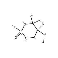 CC[C@@]1(C)COP(=O)(F)OC1(C)C